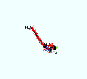 Cc1cc(F)cc(C)c1Oc1ccc(S(C)(=O)=O)cc1-c1cn(C)c(=O)c2[nH]c(C(=O)Nc3ccc(OCCOCCOCCOCCOCCOCCOCCOCCO[C@H](C)I)cc3)cc12